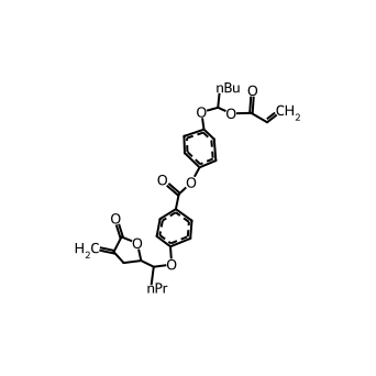 C=CC(=O)OC(CCCC)Oc1ccc(OC(=O)c2ccc(OC(CCC)C3CC(=C)C(=O)O3)cc2)cc1